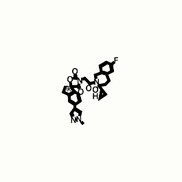 Cn1cc(-c2ccc3c(c2)CC[C@@]32OC(=O)N(CC(=O)N3Cc4ccc(F)cc4CC[C@]3(O)C3CC3)C2=O)cn1